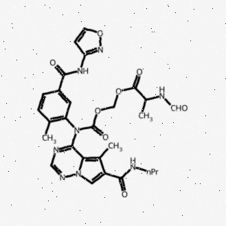 CCCNC(=O)c1cn2ncnc(N(C(=O)OCOC(=O)C(C)NC=O)c3cc(C(=O)Nc4ccon4)ccc3C)c2c1C